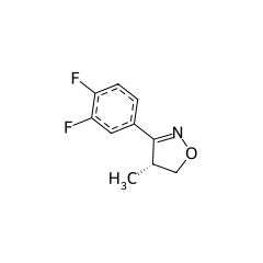 C[C@H]1CON=C1c1ccc(F)c(F)c1